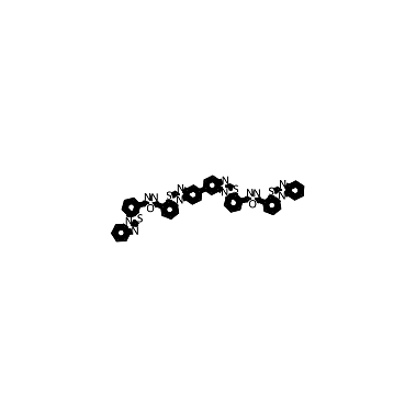 c1ccc2c(c1)nc1sc3c(-c4nnc(-c5cccc6c5sc5nc7cc(-c8ccc9nc%10sc%11c(-c%12nnc(-c%13cccc%14c%13sc%13nc%15ccccc%15n%13%14)o%12)cccc%11n%10c9c8)ccc7n56)o4)cccc3n12